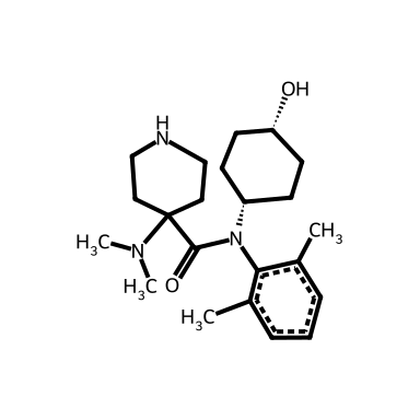 Cc1cccc(C)c1N(C(=O)C1(N(C)C)CCNCC1)[C@H]1CC[C@@H](O)CC1